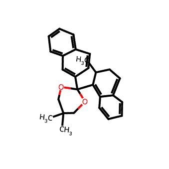 CC1CC=c2ccccc2=C1C1(c2ccc3ccccc3c2)OCC(C)(C)CO1